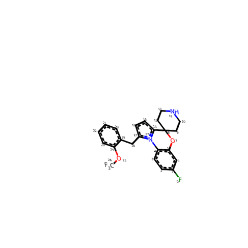 Fc1ccc2c(c1)OC1(CCNCC1)c1ccc(Cc3ccccc3OC(F)(F)F)n1-2